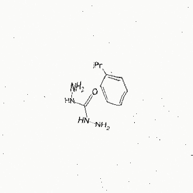 CC(C)c1ccccc1.NNC(=O)NN